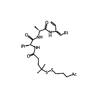 C=C/C(=C\CC)NC(=O)[C@H](C)NC(=O)[C@@H](NC(=O)CCC(C)(C)SSCCCC(C)=O)C(C)C